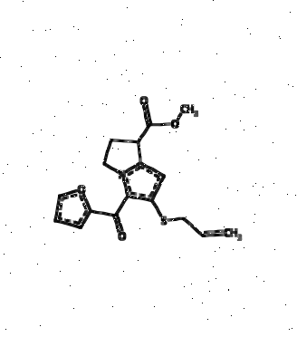 C=CCSc1cc2n(c1C(=O)c1ccco1)CCC2C(=O)OC